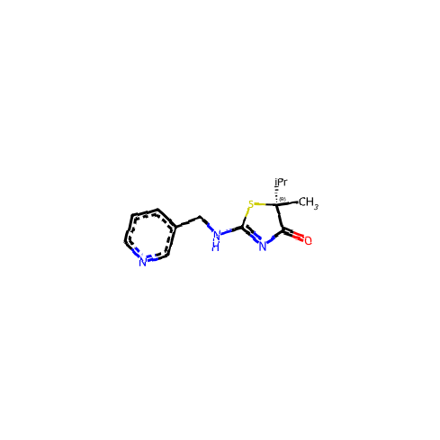 CC(C)[C@@]1(C)SC(NCc2cccnc2)=NC1=O